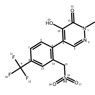 Cn1ncc(-c2ccc(C(F)(F)F)cc2C[SH](=O)=O)c(O)c1=O